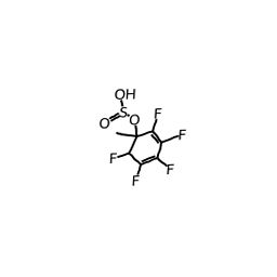 CC1(OS(=O)O)C(F)=C(F)C(F)=C(F)C1F